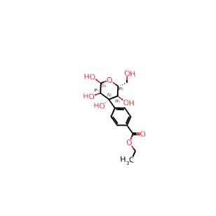 CCOC(=O)c1ccc([C@]2(O)[C@H](O)[C@@H](CO)O[C@H](O)[C@@H]2O)cc1